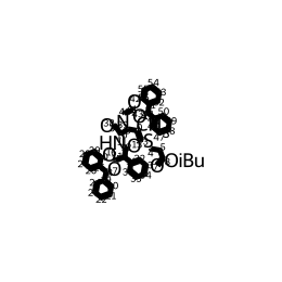 CC(=CSCCC(=O)OCC(C)C)C1C(NC(=O)C(C(=O)OC(c2ccccc2)c2ccccc2)c2ccccc2)C(=O)N1CC(=O)OC(c1ccccc1)c1ccccc1